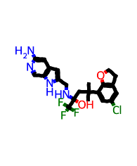 CC(C)(CC(O)(NCc1cc2cc(N)ncc2[nH]1)C(F)(F)F)c1cc(Cl)cc2c1OCC2